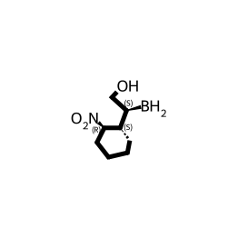 B[C@H](CO)[C@@H]1CCCC[C@H]1[N+](=O)[O-]